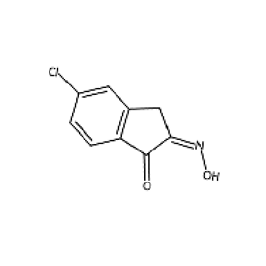 O=C1C(=NO)Cc2cc(Cl)ccc21